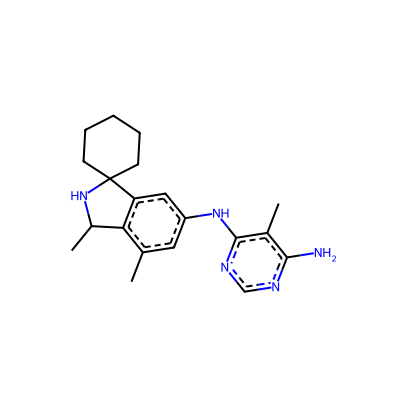 Cc1cc(Nc2ncnc(N)c2C)cc2c1C(C)NC21CCCCC1